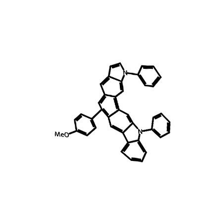 COc1ccc(-c2cc3cc4ccn(-c5ccccc5)c4cc3c3cc4c(cc23)c2ccccc2n4-c2ccccc2)cc1